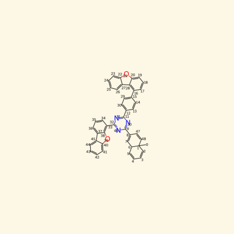 CC12C=CC=CC1C=C(c1nc(-c3ccc(-c4cccc5oc6ccccc6c45)cc3)nc(-c3cccc4c3oc3ccccc34)n1)C=C2